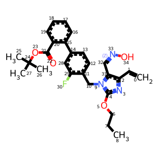 C=Cc1nc(OCCC)n(Cc2ccc(-c3ccccc3C(=O)OC(C)(C)C)cc2F)c1/C=N\O